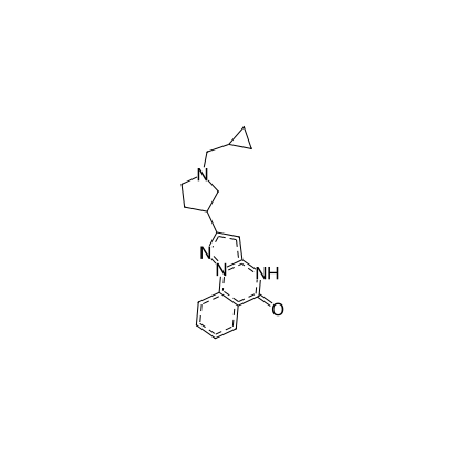 O=c1[nH]c2cc(C3CCN(CC4CC4)C3)nn2c2ccccc12